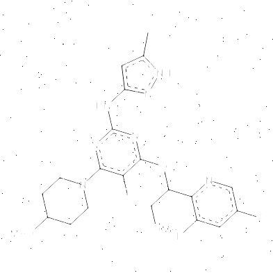 COCC(Oc1nc(Nc2cc(C)[nH]n2)nc(N2CCC(OC)CC2)c1F)c1ncc(F)cc1F